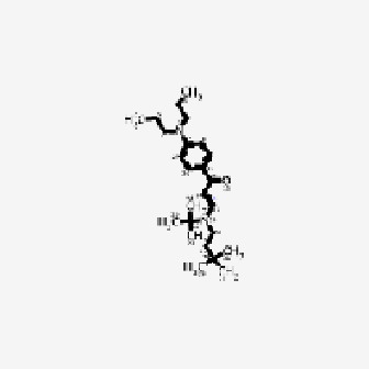 CCCN(CCC)c1ccc(C(=O)/C=C/N(CCC(C)(C)C)C(C)(C)C)cc1